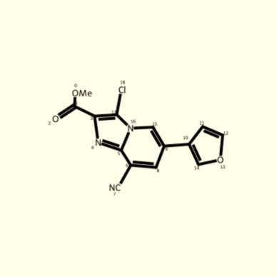 COC(=O)c1nc2c(C#N)cc(-c3ccoc3)cn2c1Cl